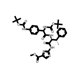 COC(=O)c1csc(NC(=O)[C@@H](NC(=O)C(NC(=O)OC(C)(C)C)c2ccc(NC(=O)OC(C)(C)C)cc2)[C@@H](C)c2ccccc2)n1